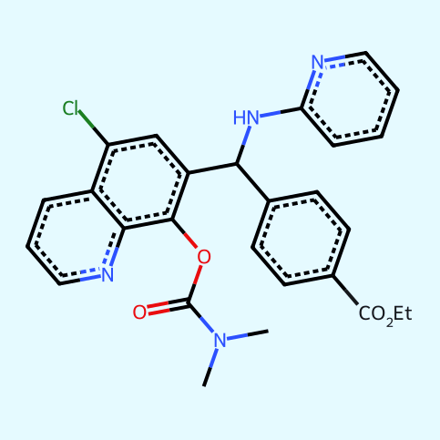 CCOC(=O)c1ccc(C(Nc2ccccn2)c2cc(Cl)c3cccnc3c2OC(=O)N(C)C)cc1